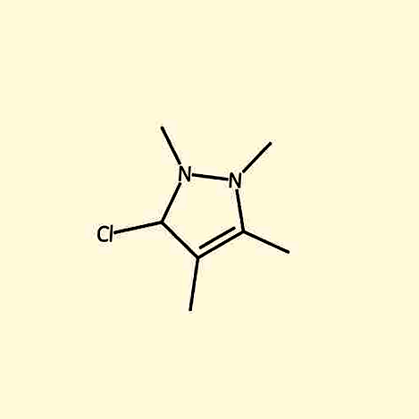 CC1=C(C)N(C)N(C)C1Cl